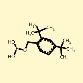 CC(C)(C)c1ccc(COP(O)O)c(C(C)(C)C)c1